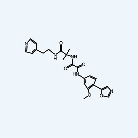 COc1cc(NC(=O)C(=O)NC(C)(C)C(=O)NCCc2ccncc2)ccc1-c1cnco1